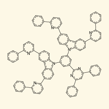 c1ccc(-c2cccc(-c3ccc4c(c3)c3cc(-c5cccc(-c6ccccc6)n5)ccc3n4-c3cc(-c4nc(-c5ccccc5)cc(-c5ccccc5)n4)cc(-n4c5ccc(-c6cccc(-c7ccccc7)n6)cc5c5cc(-c6cccc(-c7ccccc7)n6)ccc54)c3)n2)cc1